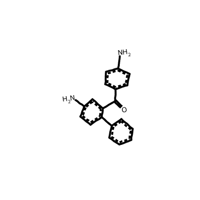 Nc1ccc(C(=O)c2cc(N)ccc2-c2ccccc2)cc1